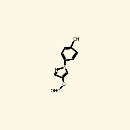 N#Cc1ccc(-n2cc(OC=O)cn2)cc1